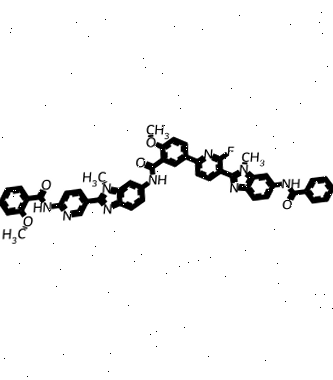 COc1ccc(-c2ccc(-c3nc4ccc(NC(=O)c5ccccc5)cc4n3C)c(F)n2)cc1C(=O)Nc1ccc2nc(-c3ccc(NC(=O)c4ccccc4OC)nc3)n(C)c2c1